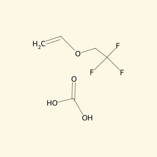 C=COCC(F)(F)F.O=C(O)O